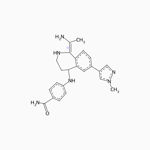 C/C(N)=C1/NCCC(Nc2ccc(C(N)=O)cc2)c2cc(-c3cnn(C)c3)ccc21